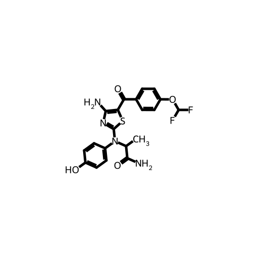 CC(C(N)=O)N(c1ccc(O)cc1)c1nc(N)c(C(=O)c2ccc(OC(F)F)cc2)s1